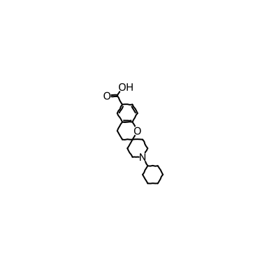 O=C(O)c1ccc2c(c1)CCC1(CCN(C3CCCCC3)CC1)O2